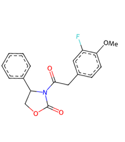 COc1ccc(CC(=O)N2C(=O)OCC2c2ccccc2)cc1F